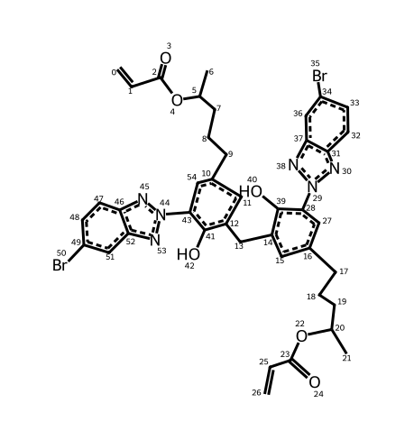 C=CC(=O)OC(C)CCCc1cc(Cc2cc(CCCC(C)OC(=O)C=C)cc(-n3nc4ccc(Br)cc4n3)c2O)c(O)c(-n2nc3ccc(Br)cc3n2)c1